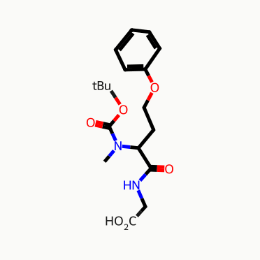 CN(C(=O)OC(C)(C)C)C(CCOc1ccccc1)C(=O)NCC(=O)O